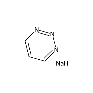 [NaH].c1cnnnc1